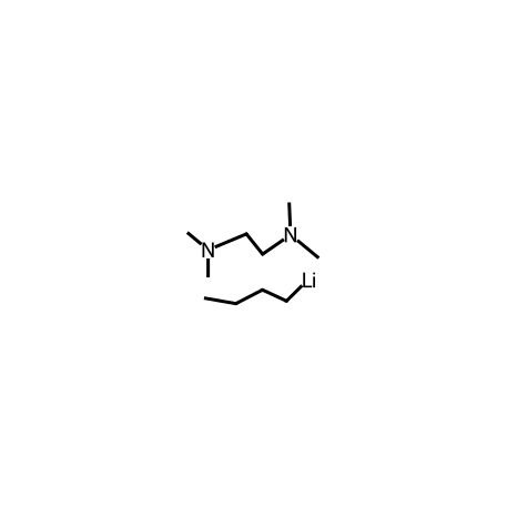 CN(C)CCN(C)C.[Li][CH2]CCC